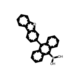 OB(O)c1c2ccccc2c(-c2ccc3c(c2)oc2ccccc23)c2ccccc12